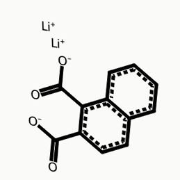 O=C([O-])c1ccc2ccccc2c1C(=O)[O-].[Li+].[Li+]